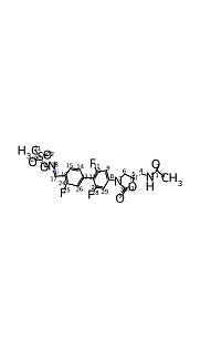 CC(=O)NC[C@H]1CN(c2cc(F)c(-c3ccc(/C=N/OS(C)(=O)=O)c(F)c3)c(F)c2)C(=O)O1